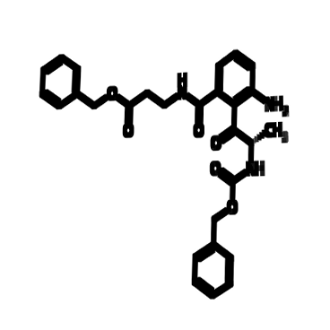 C[C@H](NC(=O)OCc1ccccc1)C(=O)c1c(N)cccc1C(=O)NCCC(=O)OCc1ccccc1